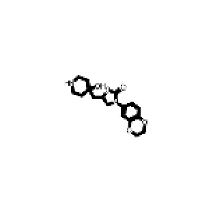 O=C1OC(CC2(O)CCNCC2)CN1c1ccc2c(c1)OCCO2